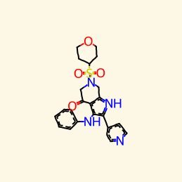 O=C1CN(S(=O)(=O)C2CCOCC2)Cc2[nH]c(-c3ccncc3)c(Nc3ccccc3)c21